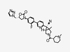 CN1CCC[C@@H](C(=O)N2C[C@H]3C(C)(C2)[C@]3(C#N)c2ccc(-c3ccc(N4C[C@H](Cn5ccnn5)OC4=O)cc3F)cn2)C1